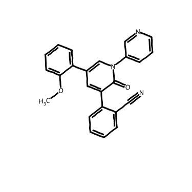 COc1ccccc1-c1cc(-c2ccccc2C#N)c(=O)n(-c2cccnc2)c1